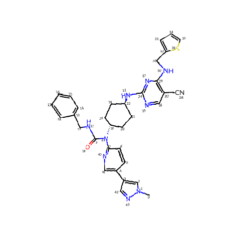 Cn1cc(-c2ccc(N(C(=O)NCc3ccccc3)[C@H]3CC[C@H](Nc4ncc(C#N)c(NCc5cccs5)n4)CC3)nc2)cn1